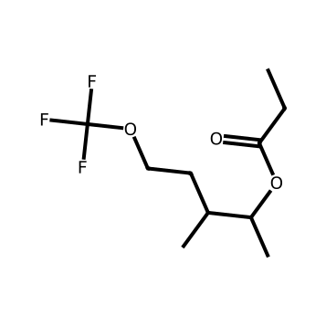 CCC(=O)OC(C)C(C)CCOC(F)(F)F